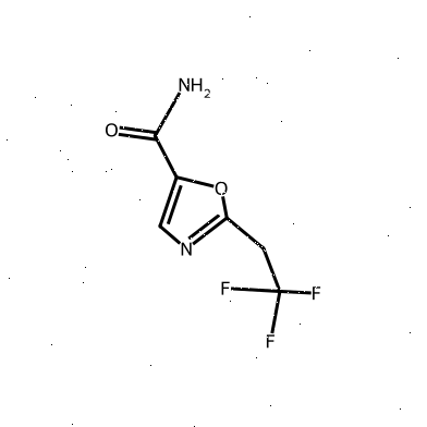 NC(=O)c1cnc(CC(F)(F)F)o1